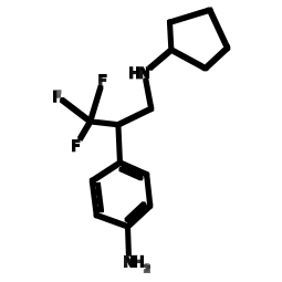 Nc1ccc(C(CNC2CCCC2)C(F)(F)F)cc1